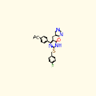 CC(=O)c1ccc(-c2nc(SCc3ccc(F)cc3)[nH]c(=O)c2Cc2cncnc2)cc1